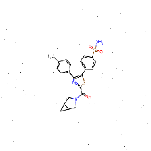 NS(=O)(=O)c1ccc(-c2sc(C(=O)N3CC4CC4C3)nc2-c2ccc(C(F)(F)F)cc2)cc1